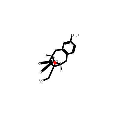 O=C(O)c1ccc2c(c1)C[C@H]1CC[C@@H](C2)[C@]12CN(CC(F)(F)F)S(=O)(=O)N2